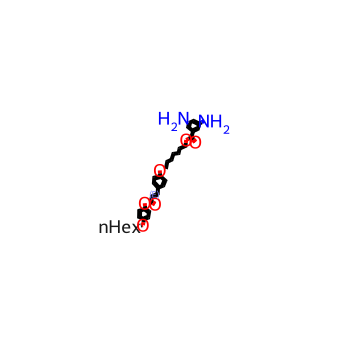 CCCCCCOc1ccc(OC(=O)/C=C/c2ccc(OCCCCCCCOC(=O)c3cc(N)cc(N)c3)cc2)cc1